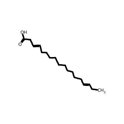 CCC=CCCCCCCCCCCC=CCC(=O)O